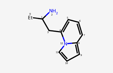 CCC(N)Cc1cccc2cccn12